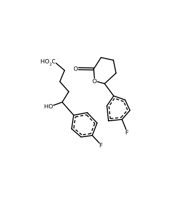 O=C(O)CCCC(O)c1ccc(F)cc1.O=C1CCCC(c2ccc(F)cc2)O1